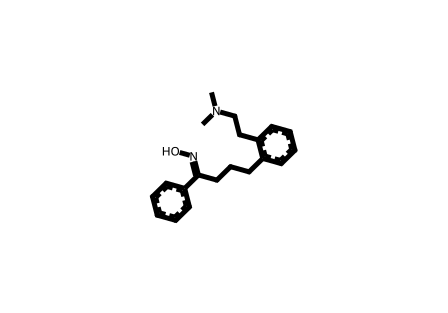 CN(C)CCc1ccccc1CCCC(=NO)c1ccccc1